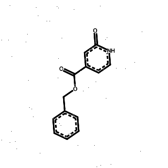 O=C(OCc1ccccc1)c1cc[nH]c(=O)c1